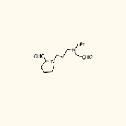 CCCN(CC=O)CCCN1CCCCC1C=O